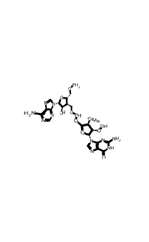 CO[C@@H]1C(OPOC[C@H]2[C@@H](O)[C@H](n3cnc4c(N)ncnc43)O[C@@H]2COP)O[C@@H](n2cnc3c(=O)[nH]c(N)nc32)[C@@H]1OO